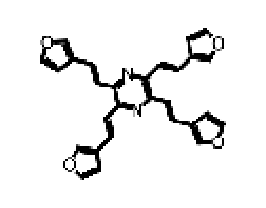 C(=Cc1nc(C=Cc2ccoc2)c(C=Cc2ccoc2)nc1C=Cc1ccoc1)c1ccoc1